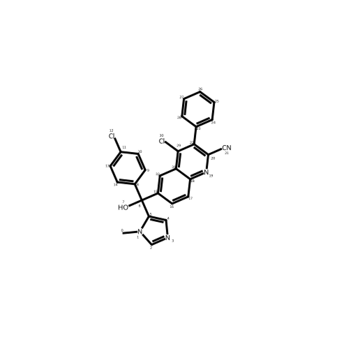 Cn1cncc1C(O)(c1ccc(Cl)cc1)c1ccc2nc(C#N)c(-c3ccccc3)c(Cl)c2c1